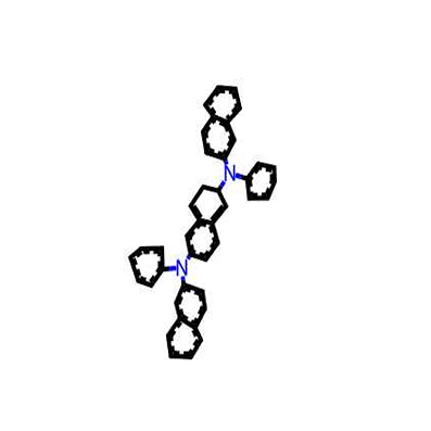 C1=c2ccc(N(c3ccccc3)c3ccc4ccccc4c3)cc2=CCC1N(c1ccccc1)c1ccc2ccccc2c1